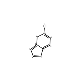 ClC1=CC=C2C=CC=C2C1